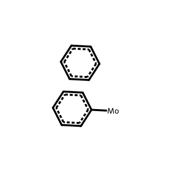 [Mo][c]1ccccc1.c1ccccc1